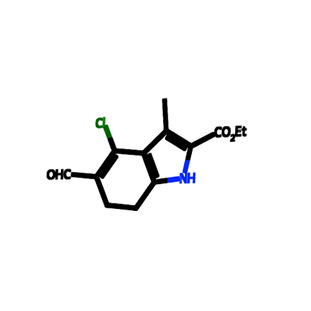 CCOC(=O)c1[nH]c2c(c1C)C(Cl)=C(C=O)CC2